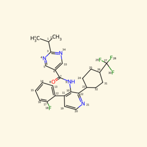 CC(C)c1ncc(C(=O)Nc2c(-c3ccccc3F)ccnc2C2CCC(C(F)(F)F)CC2)cn1